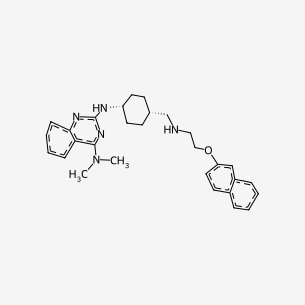 CN(C)c1nc(N[C@H]2CC[C@@H](CNCCOc3ccc4ccccc4c3)CC2)nc2ccccc12